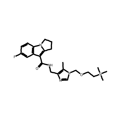 Cc1c(CNC(=O)c2c3n(c4ccc(F)cc24)CCC3)ncn1COCC[Si](C)(C)C